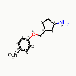 NC1CCC(COc2ccc([N+](=O)[O-])cc2)C1